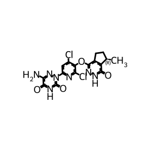 C[C@@H]1CCc2c(Oc3c(Cl)cc(-n4nc(N)c(=O)[nH]c4=O)nc3Cl)n[nH]c(=O)c21